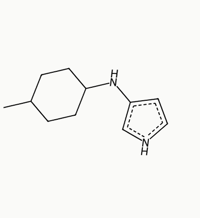 CC1CCC(Nc2cc[nH]c2)CC1